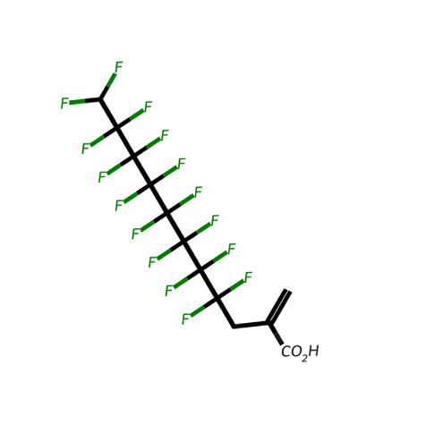 C=C(CC(F)(F)C(F)(F)C(F)(F)C(F)(F)C(F)(F)C(F)(F)C(F)(F)C(F)F)C(=O)O